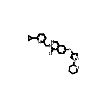 O=c1c2ccc(Sc3cnn(C4CCCCO4)c3)cc2cnn1Cc1cccc(C2CC2)n1